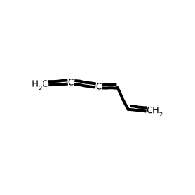 C=C=C=CC=C